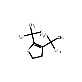 CC(C)(C)C1=C(C(C)(C)C)OCC1